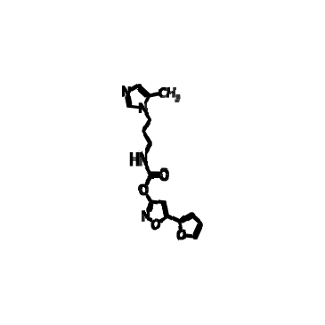 Cc1cncn1CCCNC(=O)Oc1cc(-c2ccco2)on1